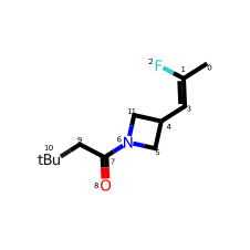 C/C(F)=C/C1CN(C(=O)CC(C)(C)C)C1